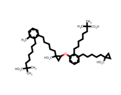 Cc1cccc(CCCCCC2(C(=O)O)CC2Oc2cccc(CCCCCC3(C(=O)O)CC3)c2CCCCCCC(C)(C)C(=O)O)c1CCCCCCC(C)(C)C(=O)O